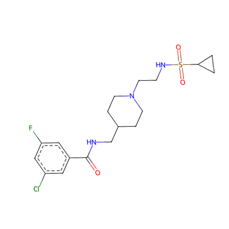 O=C(NCC1CCN(CCNS(=O)(=O)C2CC2)CC1)c1cc(F)cc(Cl)c1